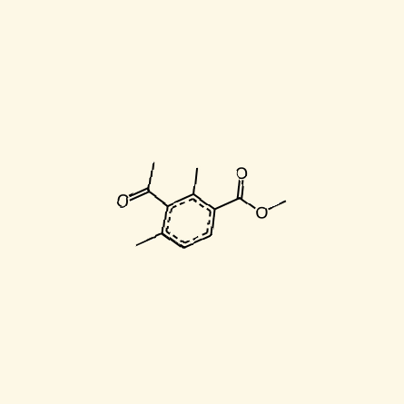 COC(=O)c1ccc(C)c(C(C)=O)c1C